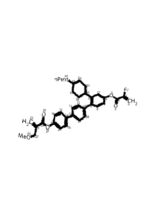 C=C(F)C(=O)Oc1ccc(-c2ccc(-c3ccc(OC(=O)C(=C)COC)cc3)cc2)c(C2CCC(CCCCC)CC2)c1